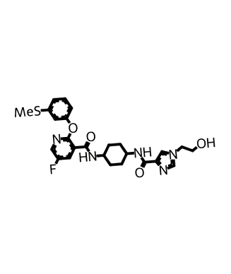 CSc1cccc(Oc2ncc(F)cc2C(=O)NC2CCC(NC(=O)c3cn(CCO)cn3)CC2)c1